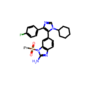 CC(C)S(=O)(=O)n1c(N)nc2ccc(-c3c(-c4ccc(F)cc4)ncn3C3CCCCC3)cc21